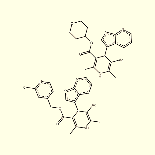 CC(=O)C1=C(C)NC(C)=C(C(=O)OC2CCOCC2)C1c1csc2ncccc12.CC(=O)C1=C(C)NC(C)=C(C(=O)OCc2ccnc(Cl)c2)C1c1csc2ncccc12